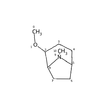 COC1CCC2CCC1N2C